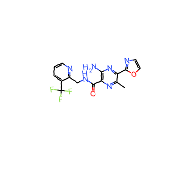 Cc1nc(C(=O)NCc2ncccc2C(F)(F)F)c(N)nc1-c1ncco1